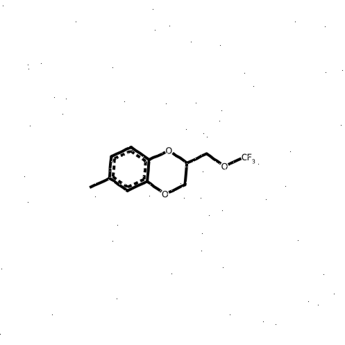 Cc1ccc2c(c1)OCC(COC(F)(F)F)O2